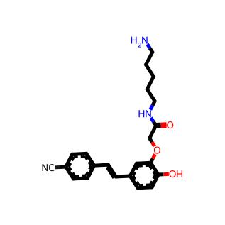 N#Cc1ccc(/C=C/c2ccc(O)c(OCC(=O)NCCCCCN)c2)cc1